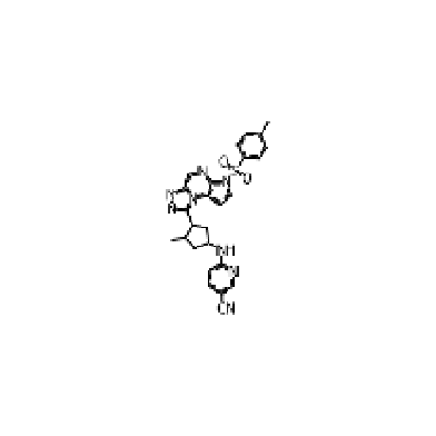 Cc1ccc(S(=O)(=O)n2ccc3c2ncc2nnc(C4CC(Nc5ccc(C#N)cn5)CC4C)n23)cc1